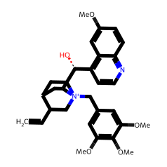 C=CC1C[N+]2(Cc3cc(OC)c(OC)c(OC)c3)CCC1CC2[C@H](O)c1ccnc2ccc(OC)cc12